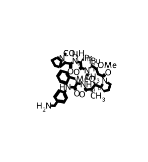 CC[C@H](C)[C@@H]([C@@H](CC(=O)N1CCC[C@H]1[C@H](OC)[C@@H](C)C(=O)N[C@@H](Cc1ccccc1)C(=O)Nc1ccc(CN)cc1)OC)N(C)C(=O)[C@@H](NC(=O)C1C2CCC(C2)N1C(=O)O)C(C)C